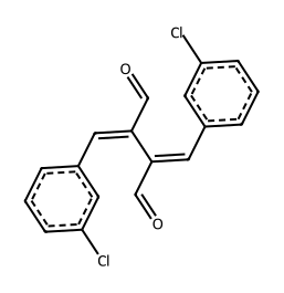 O=CC(=C/c1cccc(Cl)c1)/C(C=O)=C\c1cccc(Cl)c1